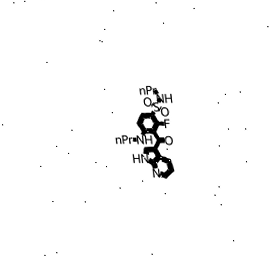 CCCNc1ccc(S(=O)(=O)NCCC)c(F)c1C(=O)c1c[nH]c2ncccc12